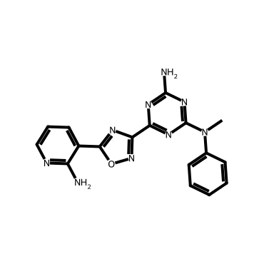 CN(c1ccccc1)c1nc(N)nc(-c2noc(-c3cccnc3N)n2)n1